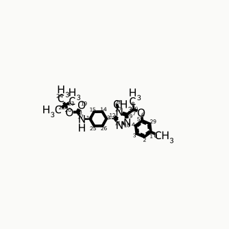 Cc1cccc(O[C@H](C)c2nnc([C@H]3CC[C@H](NC(=O)OC(C)(C)C)CC3)n2C)c1